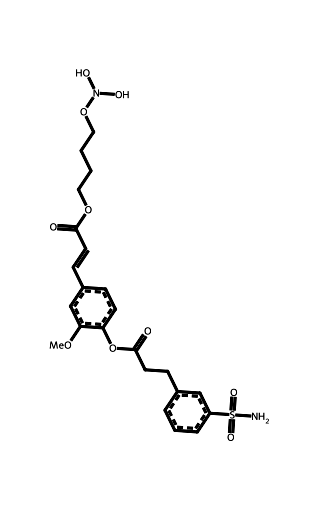 COc1cc(/C=C/C(=O)OCCCCON(O)O)ccc1OC(=O)CCc1cccc(S(N)(=O)=O)c1